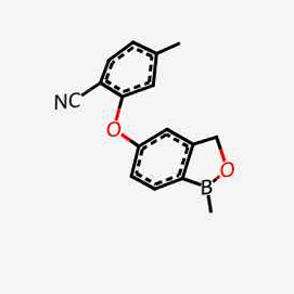 CB1OCc2cc(Oc3cc(C)ccc3C#N)ccc21